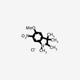 COc1cc2c(cc1[N+](=O)[O-])[N+](C)=C(C)C2(C)C.[Cl-]